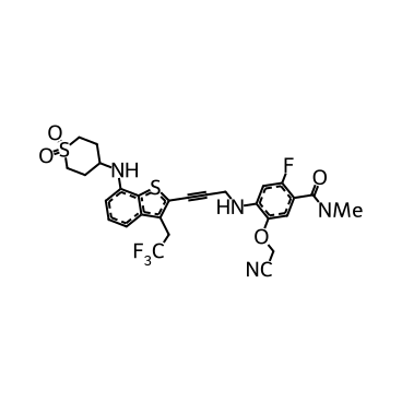 CNC(=O)c1cc(OCC#N)c(NCC#Cc2sc3c(NC4CCS(=O)(=O)CC4)cccc3c2CC(F)(F)F)cc1F